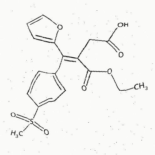 CCOC(=O)C(CC(=O)O)=C(c1ccc(S(C)(=O)=O)cc1)c1ccco1